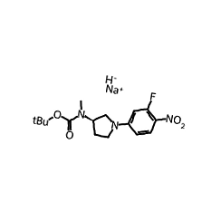 CN(C(=O)OC(C)(C)C)[C@@H]1CCN(c2ccc([N+](=O)[O-])c(F)c2)C1.[H-].[Na+]